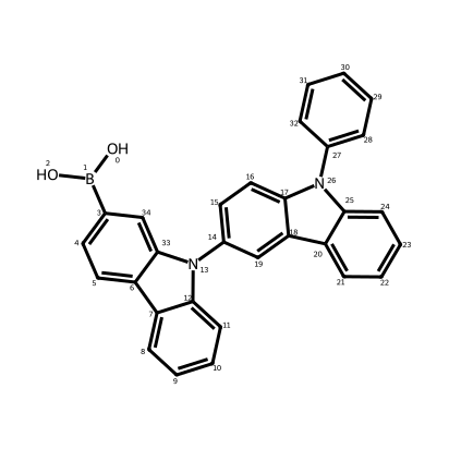 OB(O)c1ccc2c3ccccc3n(-c3ccc4c(c3)c3ccccc3n4-c3ccccc3)c2c1